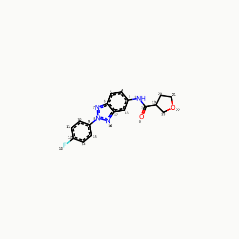 O=C(Nc1ccc2nn(-c3ccc(F)cc3)nc2c1)C1CCOC1